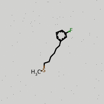 CSCCCCCCc1cccc(F)c1